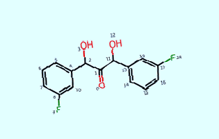 O=C(C(O)c1cccc(F)c1)C(O)c1cccc(F)c1